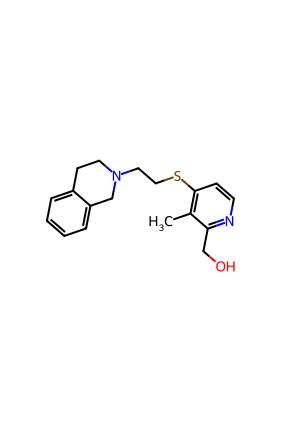 Cc1c(SCCN2CCc3ccccc3C2)ccnc1CO